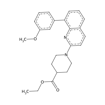 CCOC(=O)C1CCN(c2ccc3cccc(-c4cccc(OC)c4)c3n2)CC1